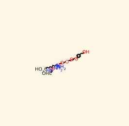 N/C(=C\N(N)CCOCCOCCOCCOc1ccc(CCO)cc1)CC(CCCC(=O)O)ONCC=O